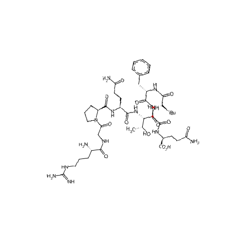 CC[C@H](C)[C@H](NC(=O)[C@@H](NC(=O)[C@H](CCC(N)=O)NC(=O)[C@@H]1CCCN1C(=O)CNC(=O)[C@@H](N)CCCNC(=N)N)[C@@H](C)O)C(=O)N[C@@H](Cc1ccccc1)C(=O)NCC(=O)N[C@@H](CCC(N)=O)C(=O)O